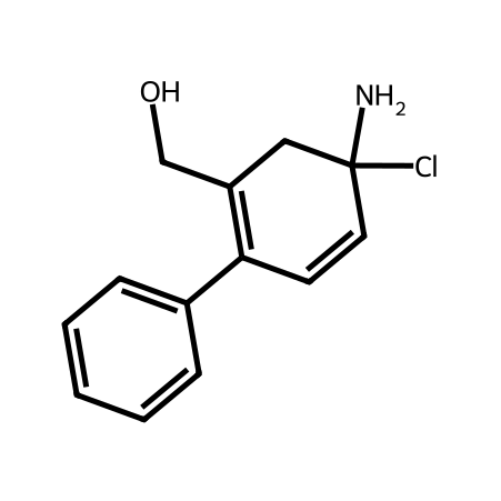 NC1(Cl)C=CC(c2ccccc2)=C(CO)C1